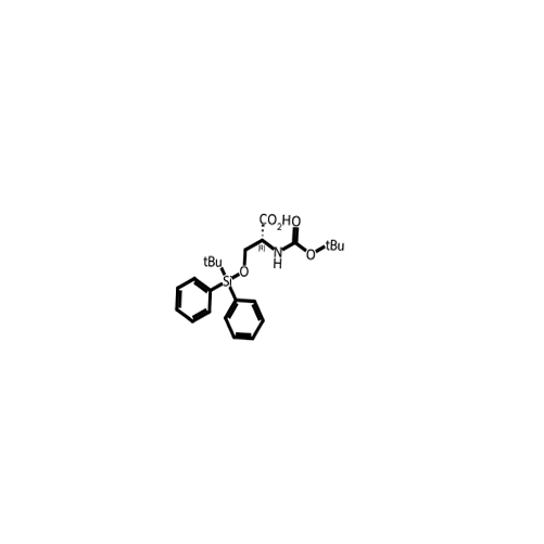 CC(C)(C)OC(=O)N[C@H](CO[Si](c1ccccc1)(c1ccccc1)C(C)(C)C)C(=O)O